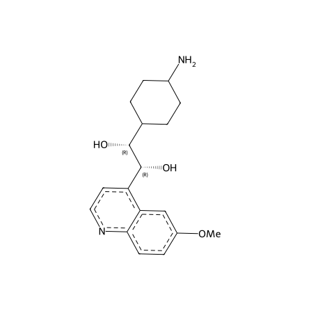 COc1ccc2nccc([C@@H](O)[C@H](O)C3CCC(N)CC3)c2c1